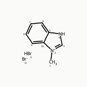 Br.C[n+]1c[nH]c2ccccc21.[Br-]